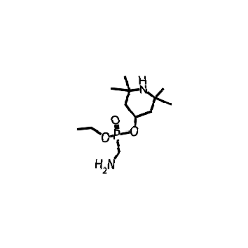 CCOP(=O)(CN)OC1CC(C)(C)NC(C)(C)C1